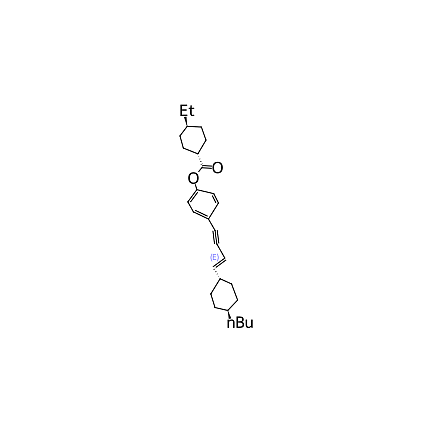 CCCC[C@H]1CC[C@H](/C=C/C#Cc2ccc(OC(=O)[C@H]3CC[C@H](CC)CC3)cc2)CC1